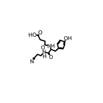 N#CCCNC(=O)C(Cc1ccc(O)cc1)NC(=O)CCC(=O)O